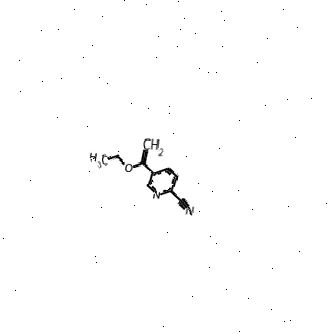 C=C(OCC)c1ccc(C#N)nc1